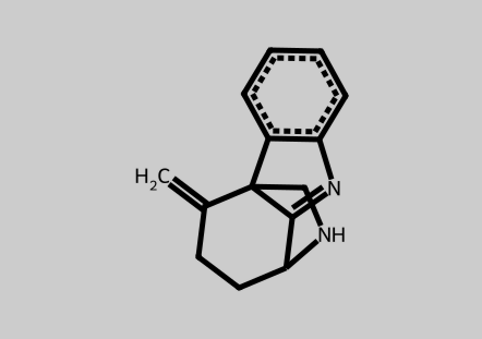 C=C1CCC2NCC13C2=Nc1ccccc13